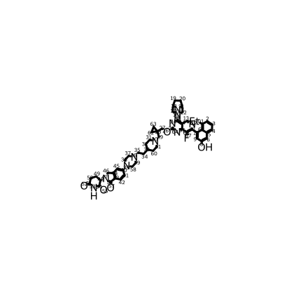 CCc1cccc2cc(O)cc(-c3ncc4c(N5CC6CCC(C5)N6)nc(OCC5(CN6CCC(CCN7CCN(c8ccc9c(c8)CN([C@H]8CCC(=O)NC8=O)C9=O)CC7)CC6)CC5)nc4c3F)c12